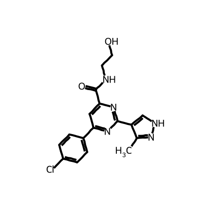 Cc1n[nH]cc1-c1nc(C(=O)NCCO)cc(-c2ccc(Cl)cc2)n1